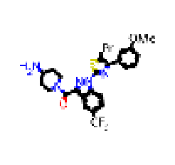 COc1cccc(-c2nc(-n3nc(C(=O)N4CCC(N)CC4)c4cc(C(F)(F)F)ccc43)sc2C(C)C)c1